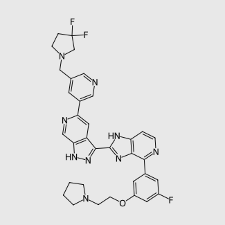 Fc1cc(OCCN2CCCC2)cc(-c2nccc3[nH]c(-c4n[nH]c5cnc(-c6cncc(CN7CCC(F)(F)C7)c6)cc45)nc23)c1